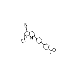 CC(=O)c1ccc(-c2ccc(-c3ccc4c(C#N)cn(C5CCC5)c4n3)cc2)cc1